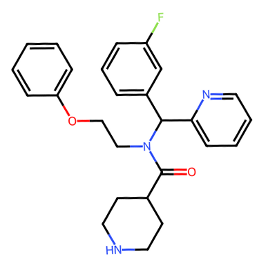 O=C(C1CCNCC1)N(CCOc1ccccc1)C(c1cccc(F)c1)c1ccccn1